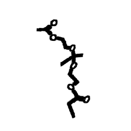 CCC(=O)OCCOC(C)(C)OCCOC(C)=O